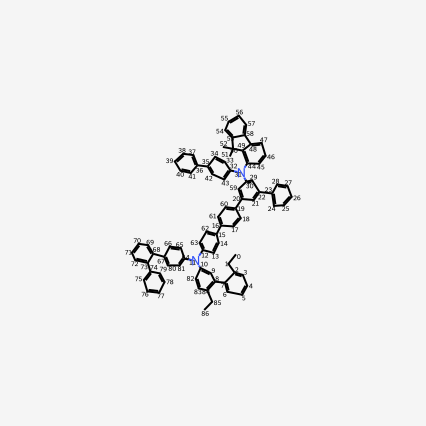 CCc1ccccc1-c1cc(N(c2ccc(-c3ccc(-c4cc(-c5ccccc5)cc(N(c5ccc(-c6ccccc6)cc5)c5cccc6c5C(C)(C)c5ccccc5-6)c4)cc3)cc2)c2ccc(-c3ccccc3-c3ccccc3)cc2)ccc1CC